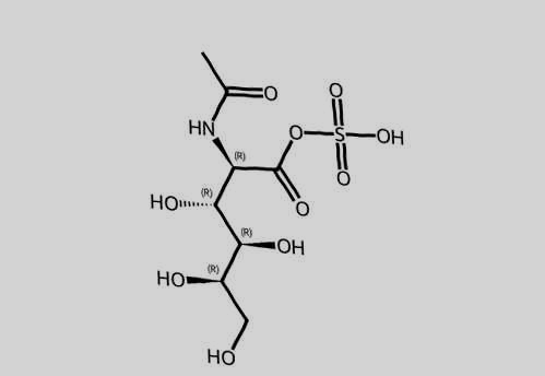 CC(=O)N[C@@H](C(=O)OS(=O)(=O)O)[C@@H](O)[C@@H](O)[C@H](O)CO